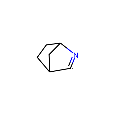 [C]1=NC2CCC1C2